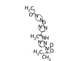 C=CC(=O)N1CCN(Oc2ncc([C@H](C)Nc3nccc(N4C(=O)OC[C@@H]4C(C)C)n3)cn2)CC1